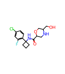 O=C(NC1(c2ccc(Cl)cc2F)CCC1)C1CNC(CO)CO1